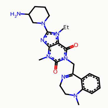 CCn1c(N2CCCC(N)C2)nc2c1c(=O)n(CC1=NCCN(C)c3ccccc31)c(=O)n2C